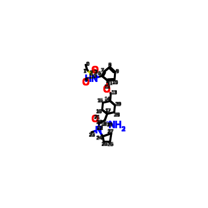 CCS(=O)(=O)Nc1ccccc1OCC1CCC([C@H](N)C(=O)N(C)C2CCC2)CC1